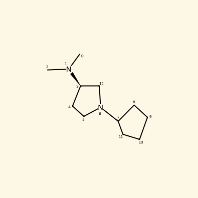 CN(C)[C@@H]1CCN(C2CCCC2)C1